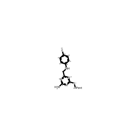 CCCCCSc1nc(N)nc(CNc2ccc(F)cc2)n1